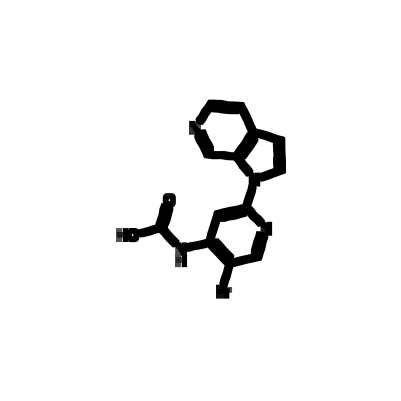 O=C(O)Nc1cc(-n2ccc3ccncc32)ncc1Br